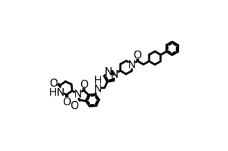 O=C1CCC(N2C(=O)c3cccc(NCc4cnn(C5CCN(C(=O)CC6CCC(c7ccccc7)CC6)CC5)c4)c3C2=O)C(=O)N1